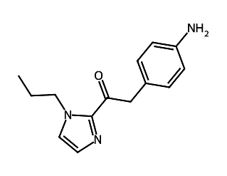 CCCn1ccnc1C(=O)Cc1ccc(N)cc1